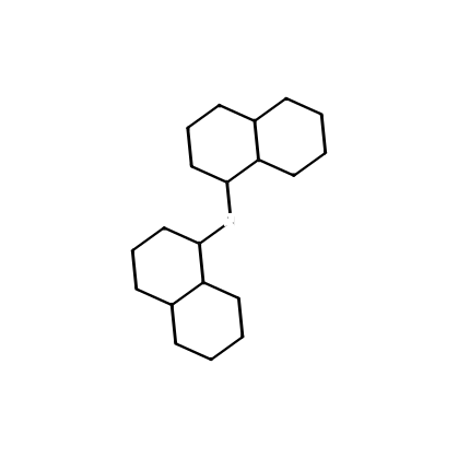 C1CCC2C(C1)CCCC2[N]C1CCCC2CCCCC21